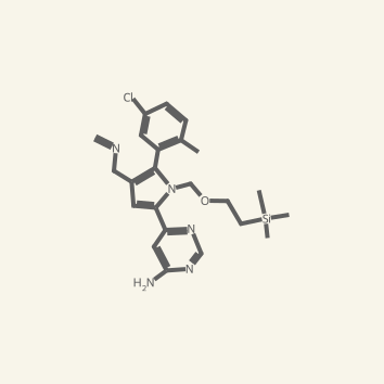 C=NCc1cc(-c2cc(N)ncn2)n(COCC[Si](C)(C)C)c1-c1cc(Cl)ccc1C